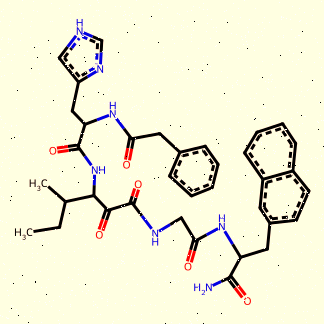 CCC(C)C(NC(=O)C(Cc1c[nH]cn1)NC(=O)Cc1ccccc1)C(=O)C(=O)NCC(=O)NC(Cc1ccc2ccccc2c1)C(N)=O